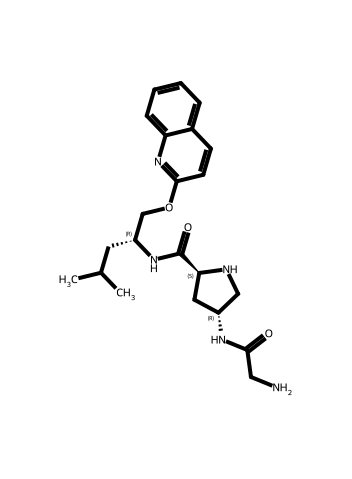 CC(C)C[C@H](COc1ccc2ccccc2n1)NC(=O)[C@@H]1C[C@@H](NC(=O)CN)CN1